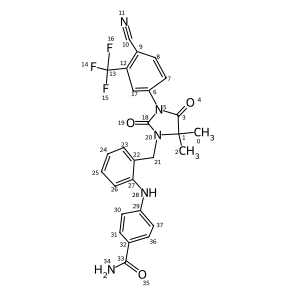 CC1(C)C(=O)N(c2ccc(C#N)c(C(F)(F)F)c2)C(=O)N1Cc1ccccc1Nc1ccc(C(N)=O)cc1